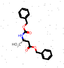 O=C(C[C@@H](NC(=O)OCc1ccccc1)C(=O)O)OCc1ccccc1